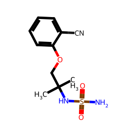 CC(C)(COc1ccccc1C#N)NS(N)(=O)=O